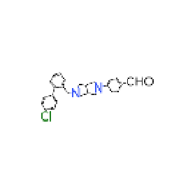 O=Cc1ccc(N2CC3CN(Cc4ccccc4-c4ccc(Cl)cc4)CC3C2)cc1